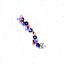 C[C@@H]1C[C@@H](CCO[C@H]2CC[C@H](N3C(=S)N(c4cnc(C#N)c(C(F)(F)F)c4)C(=O)C3(C)C)CC2)C[C@H](C)N1CC(=O)Nc1cccc2c(C3CCC(=O)NC3=O)nn(C)c12